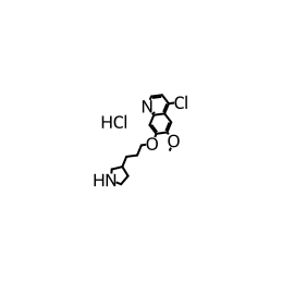 COc1cc2c(Cl)ccnc2cc1OCCCC1CCNC1.Cl